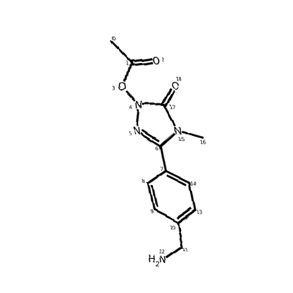 CC(=O)On1nc(-c2ccc(CN)cc2)n(C)c1=O